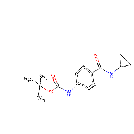 CC(C)(C)OC(=O)Nc1ccc(C(=O)NC2CC2)cc1